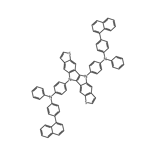 c1ccc(N(c2ccc(-c3cccc4ccccc34)cc2)c2ccc(-n3c4cc5ccsc5cc4c4c3c3cc5sccc5cc3n4-c3ccc(N(c4ccccc4)c4ccc(-c5cccc6ccccc56)cc4)cc3)cc2)cc1